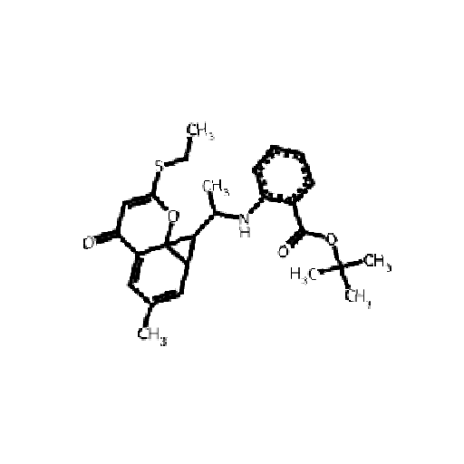 CCSC1=CC(=O)C2=CC(C)=CC3C(C(C)Nc4ccccc4C(=O)OC(C)(C)C)C23O1